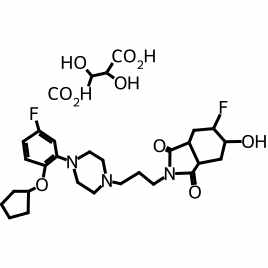 O=C(O)C(O)C(O)C(=O)O.O=C1C2CC(O)C(F)CC2C(=O)N1CCCN1CCN(c2cc(F)ccc2OC2CCCC2)CC1